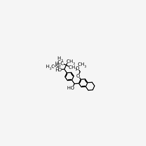 COCOc1cc2c(cc1C(O)c1ccc(C(O[SiH](C)C)C(C)(C)C)cc1)CCCC2